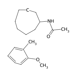 CC(=O)NC1CCCCCCC1.COc1ccccc1C